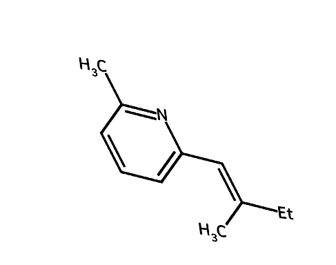 CC/C(C)=C/c1cccc(C)n1